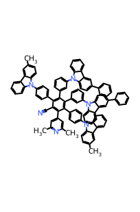 Cc1ccc2c(c1)c1ccccc1n2-c1ccc(-c2c(C#N)c(-c3cc(C)nc(C)c3)c(-c3ccc(-n4c5ccccc5c5cc(C)ccc54)cc3)c(-c3cccc(-n4c5ccccc5c5cc(-c6ccccc6)ccc54)c3)c2-c2cccc(-n3c4ccccc4c4cc(-c5ccccc5)ccc43)c2)cc1